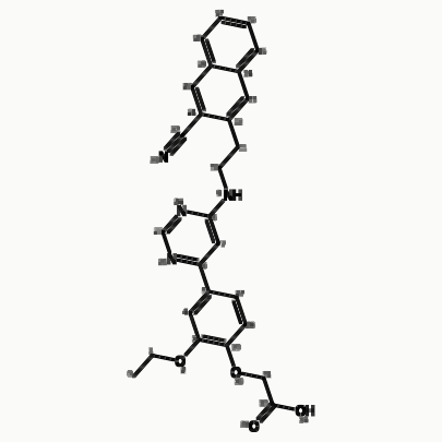 CCOc1cc(-c2cc(NCCc3cc4ccccc4cc3C#N)ncn2)ccc1OCC(=O)O